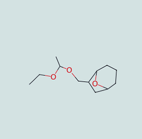 CCOC(C)OCC1CC2CCCC1O2